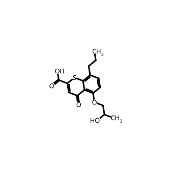 CCCc1ccc(OCC(C)O)c2c(=O)cc(C(=O)O)sc12